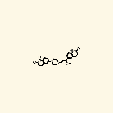 O=C1CCc2cc(C(O)CCN3CCN(c4ccc5[nH]c(=O)ccc5c4)CC3)ccc2N1